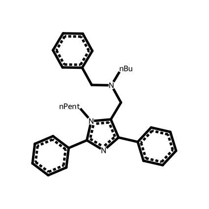 CCCCCn1c(-c2ccccc2)nc(-c2ccccc2)c1CN(CCCC)Cc1ccccc1